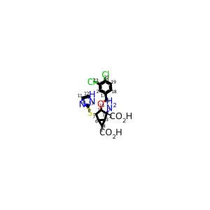 N[C@]1(C(=O)O)C2C(C(=O)O)C2[C@H](Sc2ncc[nH]2)C1OCc1ccc(Cl)c(Cl)c1